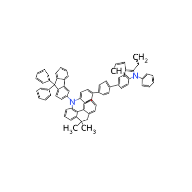 C=Cc1c(/C=C\C)c2cc(-c3ccc(-c4ccc(N(c5ccc6c(c5)-c5ccccc5C6(c5ccccc5)c5ccccc5)c5cccc6c5-c5ccccc5CC6(C)C)cc4)cc3)ccc2n1-c1ccccc1